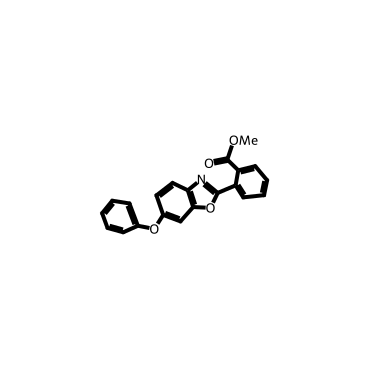 COC(=O)c1ccccc1-c1nc2ccc(Oc3ccccc3)cc2o1